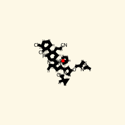 Cc1nc(COC2CC(c3cc4c(C)nc5c(F)c(-c6cccc(Cl)c6Cl)c(CCC#N)cc5c4n3C3C4CNC3C4)N(C(=O)C3(C)CC3)C2)cs1